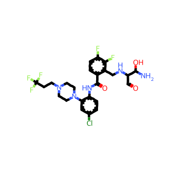 NC(O)C(C=O)NCc1c(C(=O)Nc2ccc(Cl)cc2N2CCN(CCC(F)(F)F)CC2)ccc(F)c1F